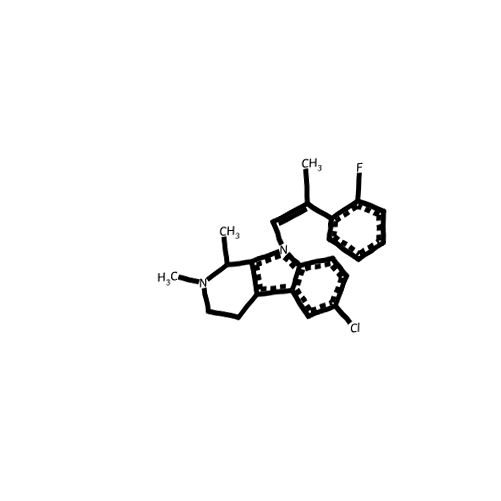 C/C(=C/n1c2c(c3cc(Cl)ccc31)CCN(C)C2C)c1ccccc1F